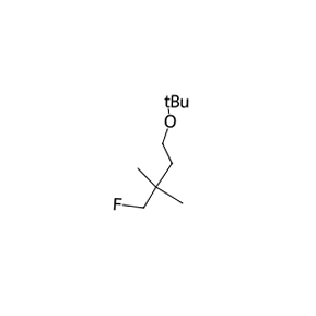 CC(C)(CF)CCOC(C)(C)C